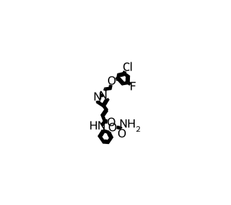 NC(=O)Oc1ccccc1NC(=O)C=Cc1cnn(CCOc2cc(F)cc(Cl)c2)c1